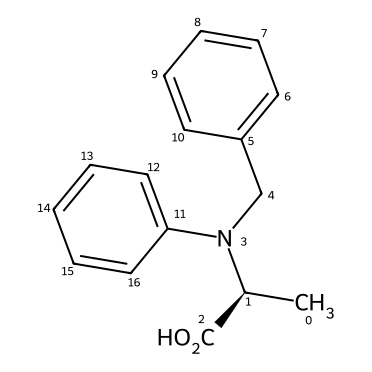 C[C@@H](C(=O)O)N(Cc1ccccc1)c1ccccc1